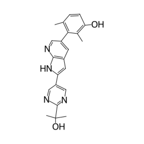 Cc1ccc(O)c(C)c1-c1cnc2[nH]c(-c3cnc(C(C)(C)O)nc3)cc2c1